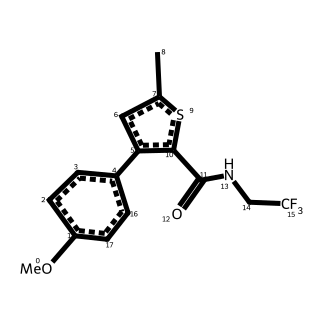 COc1ccc(-c2cc(C)sc2C(=O)NCC(F)(F)F)cc1